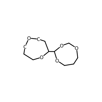 C1COCCC(C2OCCCOCO2)OC1